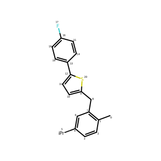 Cc1ccc(C(C)C)cc1Cc1ccc(-c2ccc(F)cc2)s1